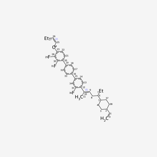 C=CC1CCC(C(CC)C/C=C(\C)c2ccc(-c3ccc(-c4ccc(O/C=C\CC)c(F)c4F)cc3)cc2F)CC1